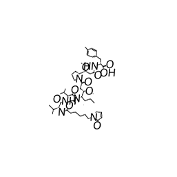 CC[C@H](C)[C@@H]([C@@H](CC(=O)N1CCC[C@H]1[C@H](OC)[C@@H](C)C(=O)N[C@@H](Cc1ccc(C)cc1)C(=O)O)OC)N(C)C(=O)[C@@H](NC(=O)[C@H](C(C)C)N(C)C(=O)CCCCCN1CC=CC1=O)C(C)C